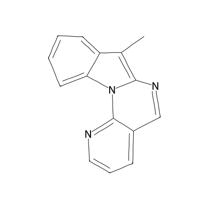 Cc1c2ccccc2n2c1ncc1cccnc12